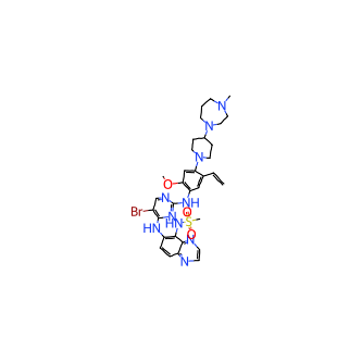 C=Cc1cc(Nc2ncc(Br)c(Nc3ccc4nccnc4c3NS(C)(=O)=O)n2)c(OC)cc1N1CCC(N2CCCN(C)CC2)CC1